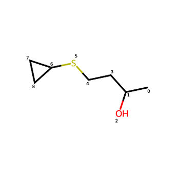 CC(O)CCSC1CC1